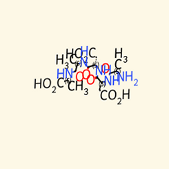 C[C@H](N)C(=O)N[C@@H](CC(=O)O)C(=O)N[C@@H](CC(=O)O)C(=O)N[C@@H](C)C(=O)N[C@@H](C)C(=O)O